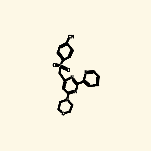 N#Cc1ccc(S(=O)(=O)Cc2cc(N3CCOCC3)nc(-c3ccccn3)n2)cc1